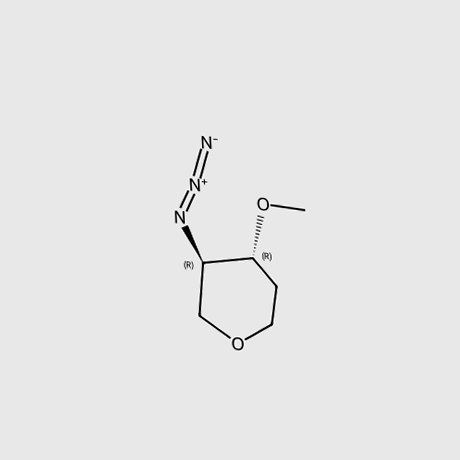 CO[C@@H]1CCOC[C@H]1N=[N+]=[N-]